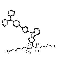 CCCCCCC(C)(C)CC(c1ccc2c(c1)c1ccccc1n2-c1ccc(-c2ccc(N(c3ccccc3)c3ccccc3)cc2)cc1)C(C)(C)CCCCC